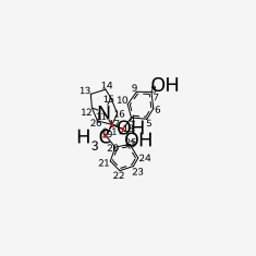 CC(C(O)c1ccc(O)cc1)N1C2CCC1CC(O)(Cc1ccccc1)C2